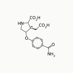 NC(=O)c1ccc(OC2CNC(C(=O)O)[C@H]2CC(=O)O)cc1